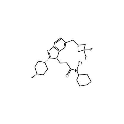 CCN(C(=O)CCn1c2cc(CN3CC(F)(F)C3)ccc2nc1[C@H]1CC[C@H](C)CC1)C1CCCCC1